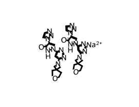 [Na+2].[O-]C1NN(c2cc(N3CC4(CCOCC4)C3)ncn2)C=C1n1ccnn1.[O-]C1NN(c2cc(N3CC4(CCOCC4)C3)ncn2)C=C1n1ccnn1